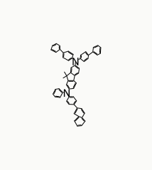 CC1(C)c2cc(N(c3ccccc3)c3ccc(-c4ccc5ccccc5c4)cc3)ccc2-c2ccc(N(c3ccc(-c4ccccc4)cc3)c3ccc(-c4ccccc4)cc3)cc21